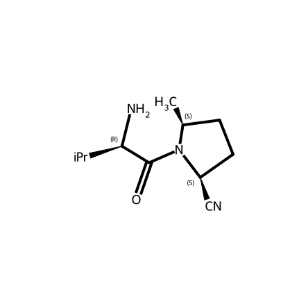 CC(C)[C@@H](N)C(=O)N1[C@H](C#N)CC[C@@H]1C